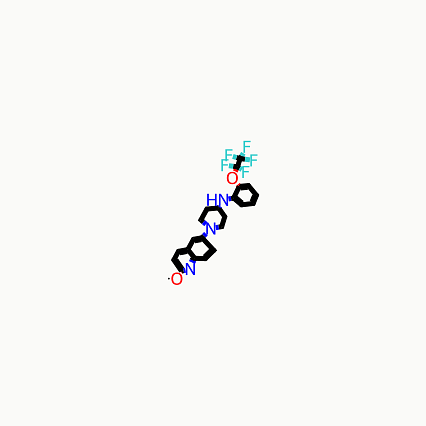 [O]c1ccc2cc(N3CCC(Nc4ccccc4OC(F)(F)C(F)(F)F)CC3)ccc2n1